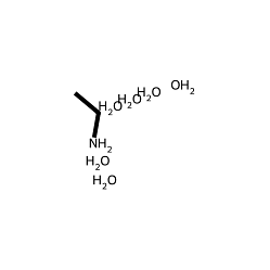 CCN.O.O.O.O.O.O